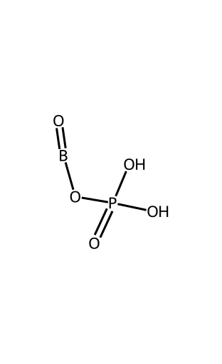 O=BOP(=O)(O)O